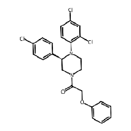 O=C(COc1ccccc1)N1CCN(c2ccc(Cl)cc2Cl)[C@H](c2ccc(Cl)cc2)C1